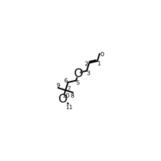 CC=CCOCCC(C)(C)OC